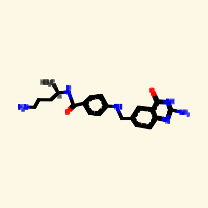 NCCC[C@H](NC(=O)c1ccc(NCc2ccc3nc(N)[nH]c(=O)c3c2)cc1)C(=O)O